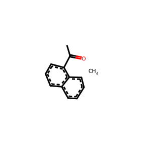 C.CC(=O)c1cccc2ccccc12